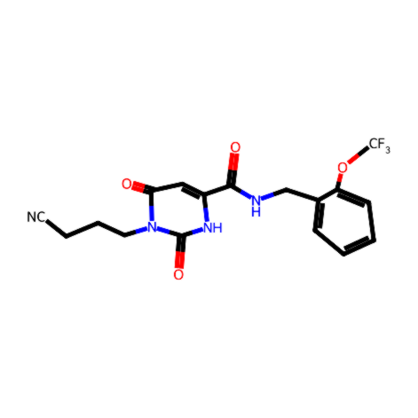 N#CCCCn1c(=O)cc(C(=O)NCc2ccccc2OC(F)(F)F)[nH]c1=O